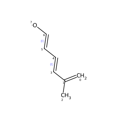 C=C(C)/C=C/C=C/[O]